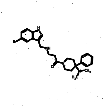 CN(C)C1(c2ccccc2)CCN(C(=O)CCNCc2c[nH]c3ccc(Br)cc23)CC1